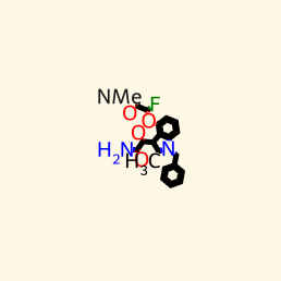 CNC(=O)C(F)Oc1cccc2c1C(C(=O)C(N)=O)C(C)N2Cc1ccccc1